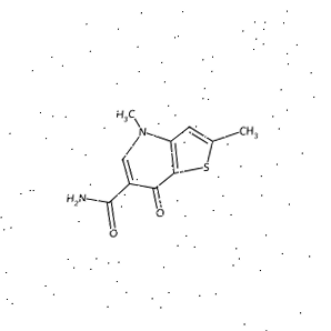 Cc1cc2c(s1)c(=O)c(C(N)=O)cn2C